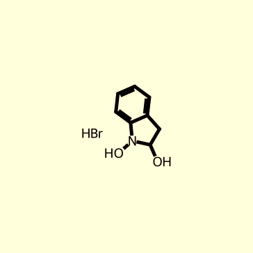 Br.OC1Cc2ccccc2N1O